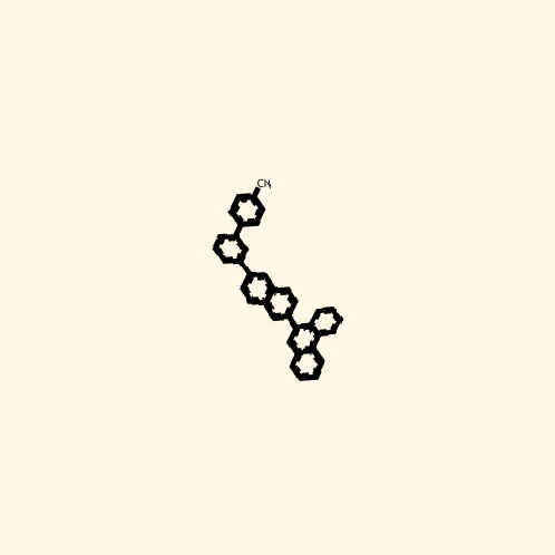 N#Cc1ccc(-c2cccc(-c3ccc4cc(-c5cc6ccccc6c6ccccc56)ccc4c3)c2)cc1